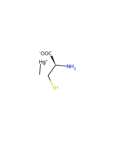 N[C@@H](CS)C(=O)[O-].[CH3][Hg+]